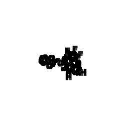 CC1=C(C(=O)OCC2COc3ccccc3O2)C(c2c(F)c(F)c(F)c(F)c2F)C2=C(CNCC2=O)N1